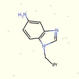 CC(C)Cn1cnc2cc(N)ccc21